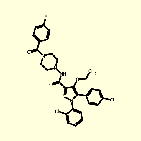 CCOc1c(C(=O)NN2CCN(C(=O)c3ccc(F)cc3)CC2)nn(-c2ccccc2Cl)c1-c1ccc(Cl)cc1